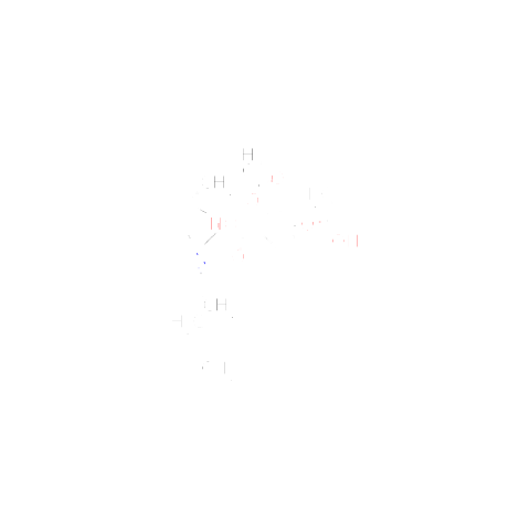 C=CC#N.C=CC(=O)O.C=CC=C.C=Cc1ccccc1.CC(=O)Oc1ccccc1C(=O)O